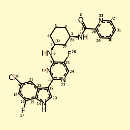 O=C(N[C@@H]1CCC[C@H](Nc2nc(-c3c[nH]c4c(F)cc(Cl)cc34)ncc2F)C1)c1ccccn1